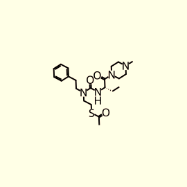 CC[C@H](NC(=O)N(CCSC(C)=O)CCc1ccccc1)C(=O)N1CCN(C)CC1